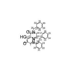 O=C1c2c(O)c(=O)cnn2[C@@H](C(c2ccccc2)c2ccccc2)CN1Cc1ccccc1